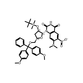 COc1ccc(C(OC[C@H]2[CH][C@@H](O[Si](C)(C)C(C)(C)C)[C@H](n3c(=O)[nH]c(=O)c4cc([N+](=O)[O-])c(N(C)C)cc43)O2)(c2ccccc2)c2ccc(OC)cc2)cc1